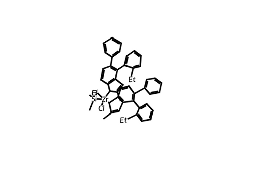 CCc1ccccc1-c1c(-c2ccccc2)ccc2c1C=C(C)[CH]2[Zr]([Cl])([Cl])([CH]1C(C)=Cc2c1ccc(-c1ccccc1)c2-c1ccccc1CC)[SiH](C)C